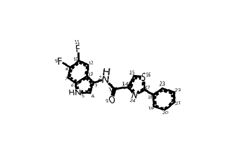 O=C(Nc1c[nH]c2cc(F)c(F)cc12)c1csc(-c2ccccc2)n1